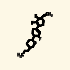 C=Cc1ccc(-c2ccc(C3CCC(CCC)CO3)c(F)c2)c(F)c1F